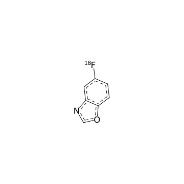 [18F]c1ccc2ocnc2c1